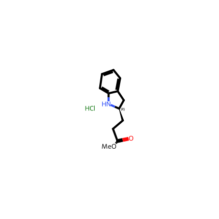 COC(=O)CC[C@@H]1Cc2ccccc2N1.Cl